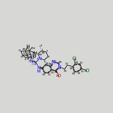 C[C@@H]1CCCN(/C(=N\[C@H]2CC3C[C@H]([C@@H]2C)C3(C)C)Nc2ccc3c(=O)n(CCc4ccc(Cl)cc4Cl)cnc3c2)C1